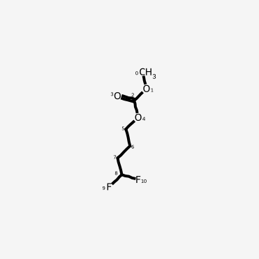 COC(=O)OCCCC(F)F